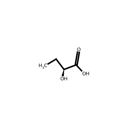 C[CH][C@H](O)C(=O)O